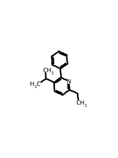 CCc1ccc(C(C)C)c(-c2ccccc2)n1